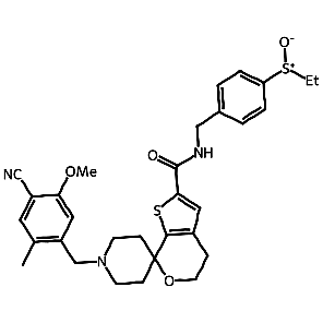 CC[S+]([O-])c1ccc(CNC(=O)c2cc3c(s2)C2(CCN(Cc4cc(OC)c(C#N)cc4C)CC2)OCC3)cc1